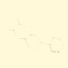 CCCCC(C)C(Oc1ccc(-c2ccccc2)cc1)C(C)=O